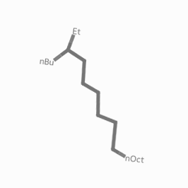 CCCCCCCCCCCCCCC(CC)CCCC